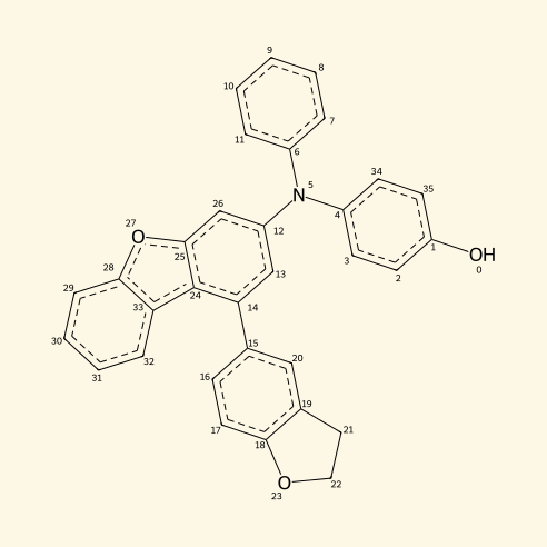 Oc1ccc(N(c2ccccc2)c2cc(-c3ccc4c(c3)CCO4)c3c(c2)oc2ccccc23)cc1